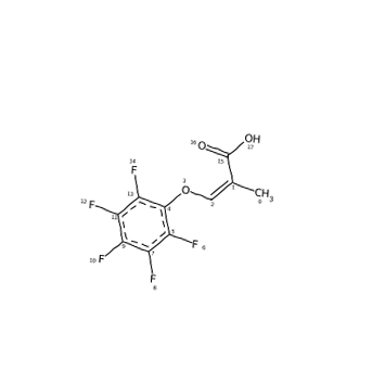 CC(=COc1c(F)c(F)c(F)c(F)c1F)C(=O)O